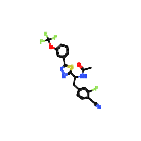 CC(=O)NC(Cc1ccc(C#N)c(F)c1)c1nnc(-c2cccc(OC(F)(F)F)c2)s1